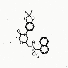 C[C@@H](NCC1CN(c2ccc3c(c2)OC(F)(F)O3)C(=O)CO1)c1cccc2ccccc12